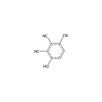 N#Cc1ccc(O)c(C#N)c1C#N